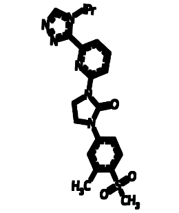 Cc1cc(N2CCN(c3cccc(-c4nncn4C(C)C)n3)C2=O)ccc1S(C)(=O)=O